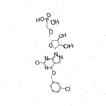 O=P(O)(O)COC[C@H]1O[C@@H](n2ncc3c(OCc4cccc(Cl)c4)nc(Cl)nc32)[C@H](O)[C@@H]1O